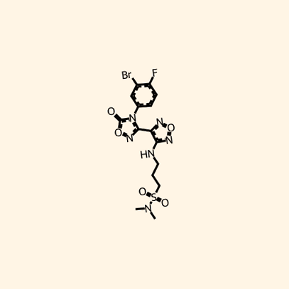 CN(C)S(=O)(=O)CCCNc1nonc1-c1noc(=O)n1-c1ccc(F)c(Br)c1